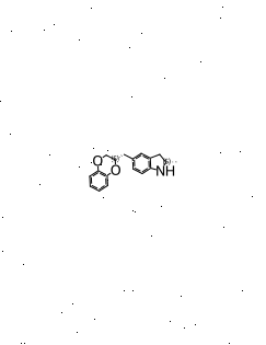 C[C@H]1Cc2cc(C[C@H]3COc4ccccc4O3)ccc2N1